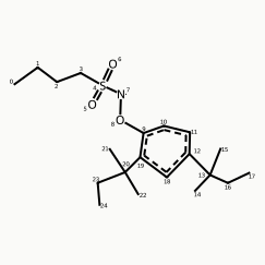 CCCCS(=O)(=O)[N]Oc1ccc(C(C)(C)CC)cc1C(C)(C)CC